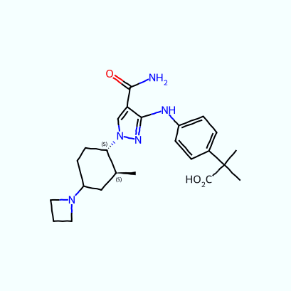 C[C@H]1CC(N2CCC2)CC[C@@H]1n1cc(C(N)=O)c(Nc2ccc(C(C)(C)C(=O)O)cc2)n1